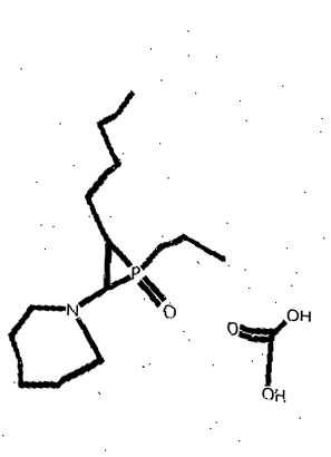 CCCCC1C(N2CCCCC2)P1(=O)CC.O=C(O)O